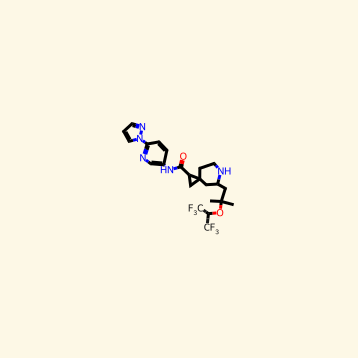 CC(C)(CC1CC2(CCN1)CC2C(=O)Nc1ccc(-n2cccn2)nc1)OC(C(F)(F)F)C(F)(F)F